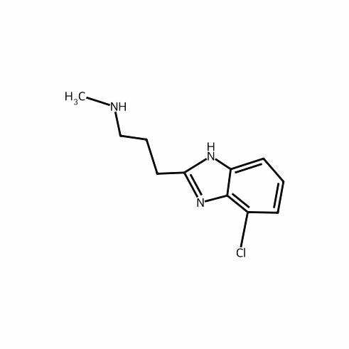 CNCCCc1nc2c(Cl)cccc2[nH]1